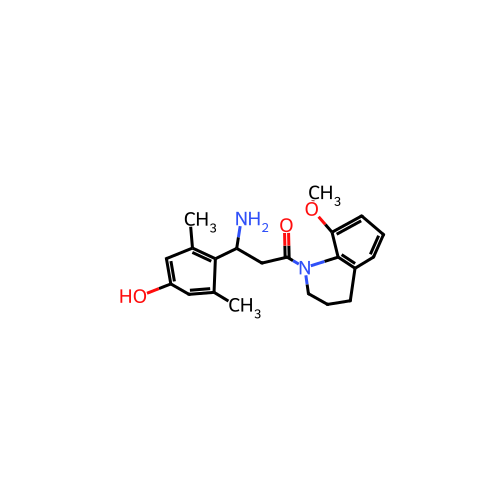 COc1cccc2c1N(C(=O)CC(N)c1c(C)cc(O)cc1C)CCC2